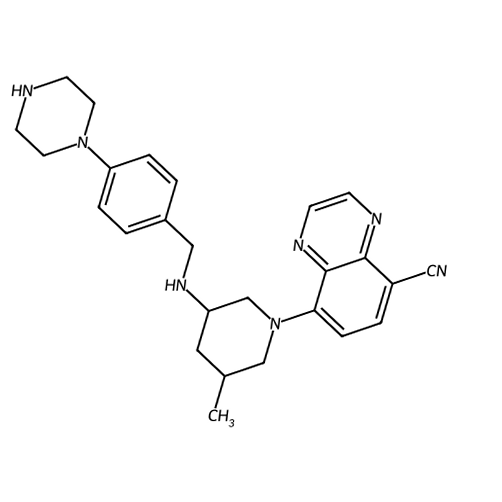 CC1CC(NCc2ccc(N3CCNCC3)cc2)CN(c2ccc(C#N)c3nccnc23)C1